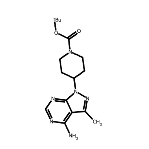 Cc1nn(C2CCN(C(=O)OC(C)(C)C)CC2)c2ncnc(N)c12